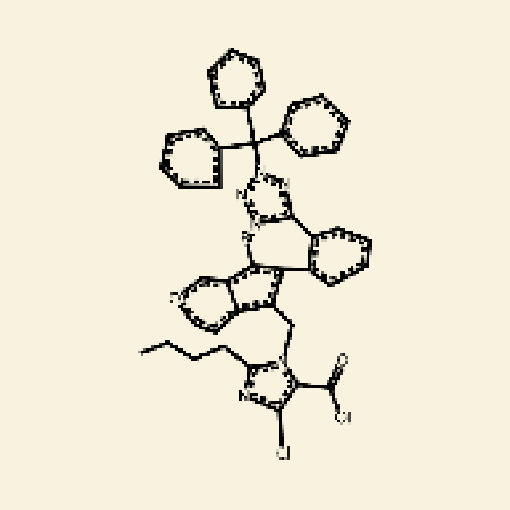 CCCCc1nc(Cl)c(C(=O)O)n1Cc1c2ccocc-2c(Br)c1-c1ccccc1-c1nnn(C(c2ccccc2)(c2ccccc2)c2ccccc2)n1